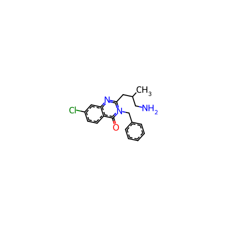 CC(CN)Cc1nc2cc(Cl)ccc2c(=O)n1Cc1ccccc1